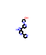 O[C@H]1CCN(c2cc(-c3n[nH]c4cnc(-c5cccnc5)cc34)ccn2)C1